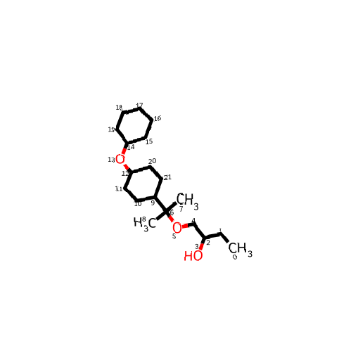 CCC(O)COC(C)(C)C1CCC(OC2CCCCC2)CC1